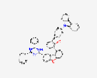 c1ccc(C2=NC(c3ccc4oc5cccc(-c6cccc7c6oc6cc(-n8c9ccccc9c9ccccc98)ccc67)c5c4c3)NC(c3ccccc3)=N2)cc1